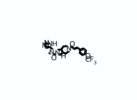 CN(Cc1cnn[nH]1)C(=O)N1CC2CCN(C(=O)/C=C/c3ccc(OC(F)(F)F)cc3)CC[C@@H]2C1